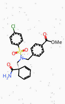 COC(=O)c1ccc(CN(C[C@]2(C(N)=O)C=CC=CC2)S(=O)(=O)c2ccc(Cl)cc2)cc1